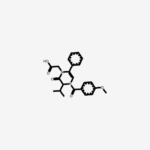 COc1ccc(C(=O)N2C=C(c3ccccc3)N(CC(=O)O)C(=O)C2C(C)C)cc1